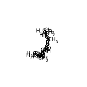 CN(C1CCC(NC(=O)OC(C)(C)C)CC1)C1CCc2cc(-n3ccc(NC(=O)N4CCN(C(=O)C(C)(C)NC(=O)OC(C)(C)C)CC4)nc3=O)ccc2C1